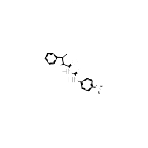 CC1c2ccccc2OC1C(=O)NC(=S)Nc1ccc(N(C)C)cc1